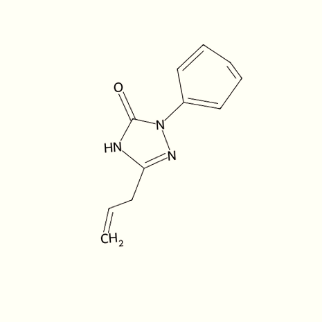 C=CCc1nn(-c2ccccc2)c(=O)[nH]1